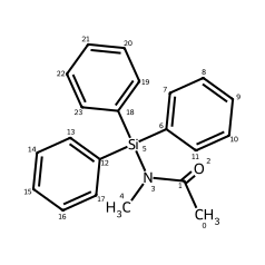 CC(=O)N(C)[Si](c1ccccc1)(c1ccccc1)c1ccccc1